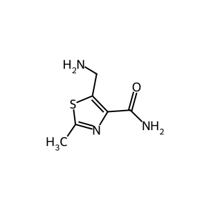 Cc1nc(C(N)=O)c(CN)s1